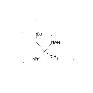 CCCC(C)(CC(C)(C)C)NC